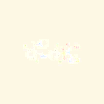 CC(c1c(F)ccc(F)c1CNc1cc(F)c(S(=O)(=O)N(C(=O)O)c2cscn2)c(F)c1)N1C2CCC1CC2